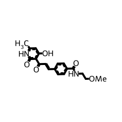 COCCNC(=O)c1ccc(C=CC(=O)c2c(O)cc(C)[nH]c2=O)cc1